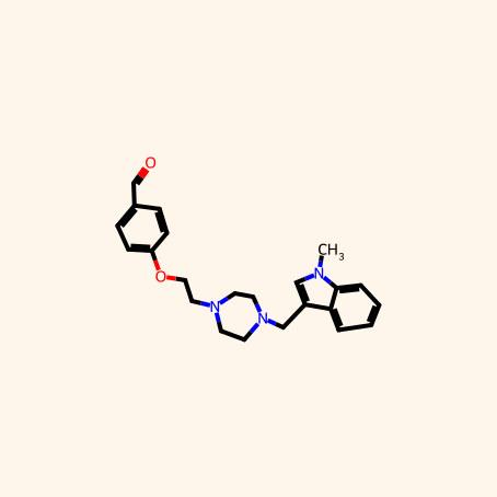 Cn1cc(CN2CCN(CCOc3ccc(C=O)cc3)CC2)c2ccccc21